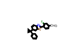 O=Cc1ccc(-c2nc3ccc(C4(c5ccccc5)CC4)cc3s2)c(F)c1